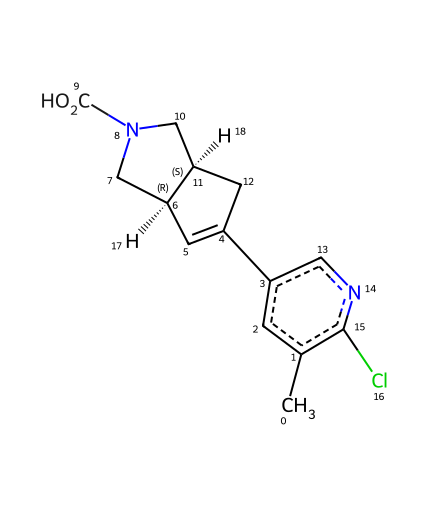 Cc1cc(C2=C[C@H]3CN(C(=O)O)C[C@H]3C2)cnc1Cl